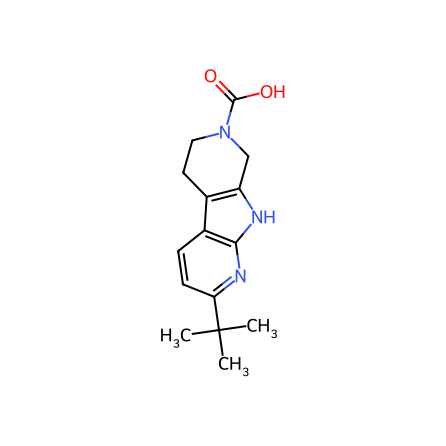 CC(C)(C)c1ccc2c3c([nH]c2n1)CN(C(=O)O)CC3